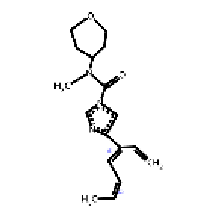 C=C/C(=C\C=C/C)c1cn(C(=O)N(C)C2CCOCC2)cn1